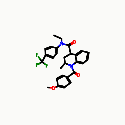 CCN(C(=O)C1CC(C)N(C(=O)c2ccc(OC)cc2)c2ccccc21)c1ccc(C(F)(F)F)cc1